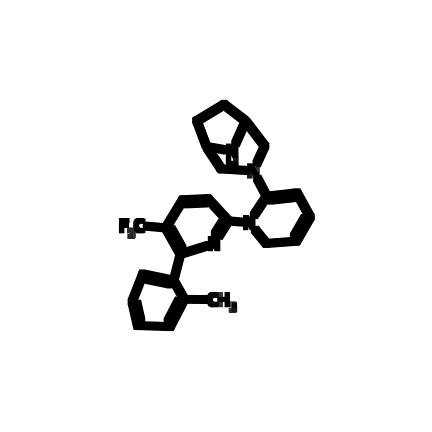 Cc1ccccc1-c1nc(N2CC=CC=C2N2CC3CCC(C2)N3)ccc1C(F)(F)F